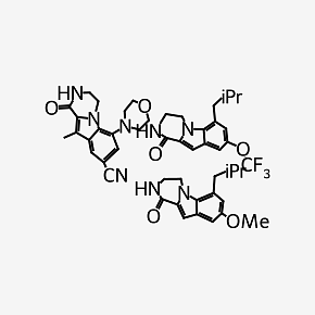 CC(C)Cc1cc(OC(F)(F)F)cc2cc3n(c12)CCNC3=O.COc1cc(CC(C)C)c2c(c1)cc1n2CCNC1=O.Cc1c2n(c3c(N4CCOCC4)cc(C#N)cc13)CCNC2=O